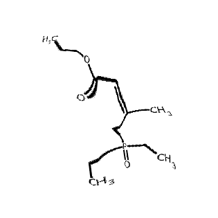 CCOC(=O)/C=C(/C)CP(=O)(CC)CC